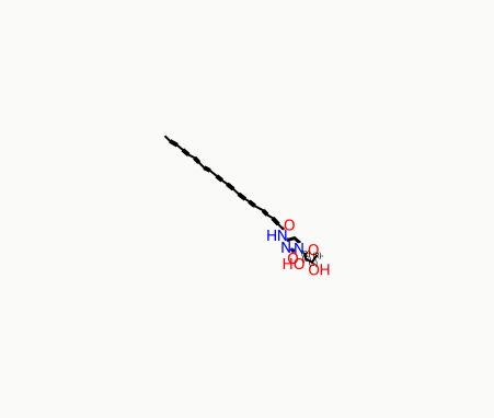 CC#CC#CC#CC#CC#CC#CC#CC#CC#CC#CC(=O)Nc1ccn([C@@H]2O[C@H](C)[C@@H](O)[C@@H]2O)c(=O)n1